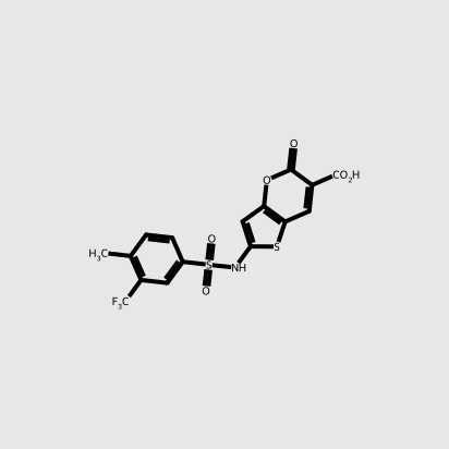 Cc1ccc(S(=O)(=O)Nc2cc3oc(=O)c(C(=O)O)cc3s2)cc1C(F)(F)F